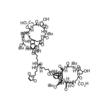 CCC(C)[C@@H]1NC(=O)[C@@H]2C[C@@H](O)CN2C(=O)[C@H](CC(=O)O)NC(=O)[C@@H]2CSc3[nH]c4ccc(NC(=O)CCCNP(=O)(NCCCC(=O)Nc5ccc6[nH]c7c(c6c5)C[C@@H]5NC(=O)[C@H](C(C)CC)NC(=O)[C@@H]6C[C@@H](O)CN6C(=O)[C@H](CC(=O)O)NC(=O)[C@H](CS7)NC(=O)CNC(=O)[C@H]([C@@H](C)CC)CNC(=O)CNC5=O)NCCCN5C(=O)C=CC5=O)cc4c3C[C@H](NC1=O)C(=O)NCC(=O)NC[C@@H]([C@@H](C)CC)C(=O)NCC(=O)N2